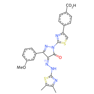 COc1cccc(C2=NN(c3nc(-c4ccc(C(=O)O)cc4)cs3)C(=O)/C2=N\Nc2nc(C)c(C)s2)c1